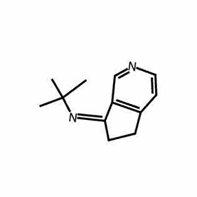 CC(C)(C)/N=C1/CCc2ccncc21